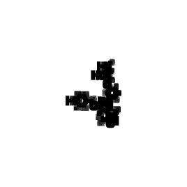 CNCC(O)COc1cccc(-c2nc(OCC3CCNCC3)c(C)c(-c3c(C)noc3C)n2)c1